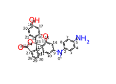 CN(c1ccc(N)cc1)c1ccc2c(c1)Oc1cc(O)ccc1C21OC(=O)c2ccccc21